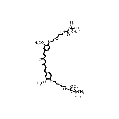 COc1cc(/C=C/C(=O)CC(=O)/C=C/c2ccc(OCCOCCNC(=O)OC(C)(C)C)c(OC)c2)ccc1OCCOCCNC(=O)OC(C)(C)C